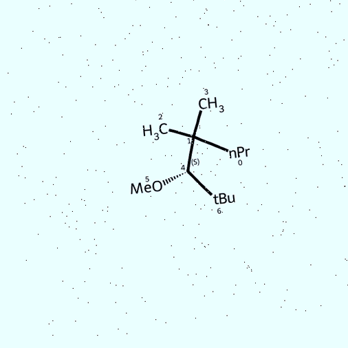 CCCC(C)(C)[C@@H](OC)C(C)(C)C